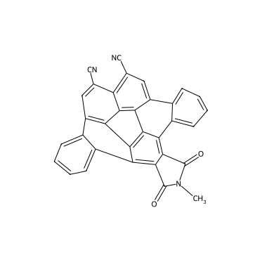 Cn1c(=O)c2c(c1=O)c1c3ccccc3c3cc(C#N)c4c(C#N)cc5c6ccccc6c2c2c5c4c3c12